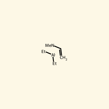 C=CNC.C[CH2][Al][CH2]C